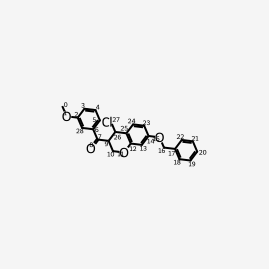 COc1cccc(C(=O)C2COc3cc(OCc4ccccc4)ccc3C2Cl)c1